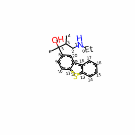 CCNCC(C)C(C)(O)c1ccc2sc3ccccc3c2c1